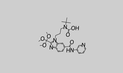 COC(OC)(OC)c1nc2ccc(C(=O)Nc3cccnc3)cc2n1CCCN(C(=O)O)C(C)(C)C